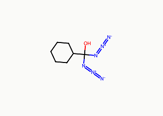 [N-]=[N+]=NC(O)(N=[N+]=[N-])C1CCCCC1